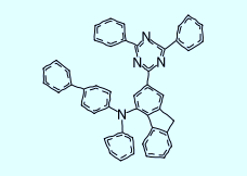 c1ccc(-c2ccc(N(c3ccccc3)c3cc(-c4nc(-c5ccccc5)nc(-c5ccccc5)n4)cc4c3-c3ccccc3C4)cc2)cc1